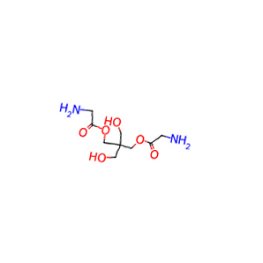 NCC(=O)OCC(CO)(CO)COC(=O)CN